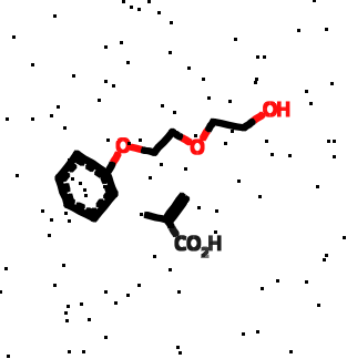 C=C(C)C(=O)O.OCCOCCOc1ccccc1